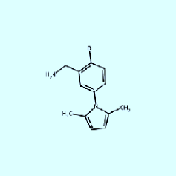 Cc1ccc(C)n1-c1ccc(Br)c(CN)c1